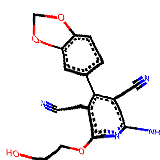 N#Cc1c(N)nc(OCCO)c(C#N)c1-c1ccc2c(c1)OCO2